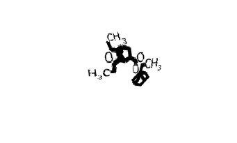 CCC1OC(CC)C2C3CC(CC3C(=O)OC3(CC)C4CC5CC(C4)CC3C5)C12